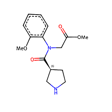 COC(=O)CN(C(=O)[C@H]1CCNC1)c1ccccc1OC